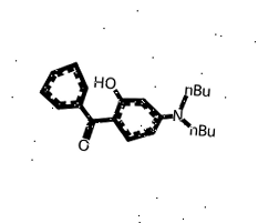 CCCCN(CCCC)c1ccc(C(=O)c2ccccc2)c(O)c1